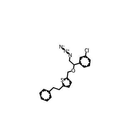 [N-]=[N+]=NCC(OCc1ccc(CCc2ccccc2)s1)c1cccc(Cl)c1